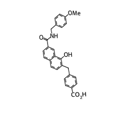 COc1ccc(CNC(=O)c2ccc3ccc(Cc4ccc(C(=O)O)cc4)c(O)c3c2)cc1